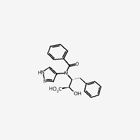 O=C(O)[C@H](O)[C@@H](Cc1ccccc1)N(C(=O)c1ccccc1)c1cn[nH]c1